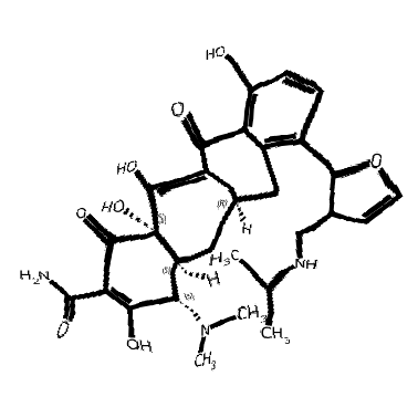 CC(C)NCC1C=COC1c1ccc(O)c2c1C[C@H]1C[C@H]3[C@H](N(C)C)C(O)=C(C(N)=O)C(=O)[C@@]3(O)C(O)=C1C2=O